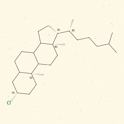 CC(C)CCC[C@@H](C)[C@H]1CCC2C3CCC4C[C@@H](Cl)CC[C@]4(C)C3CC[C@@]21C